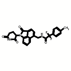 Cc1ccc(C(F)(F)C(=O)NCc2ccc3c4c(cccc24)N(C2CCC(=O)NC2=O)C3=O)cc1